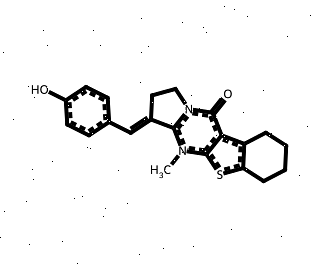 C[n+]1c2n(c(=O)c3c4c(sc31)CCCC4)CC/C2=C\c1ccc(O)cc1